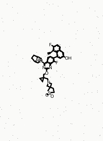 C#Cc1c(F)ccc2cc(O)cc(-c3ccc4c(N5CC6CCC(C5)N6)nc(OCC5(CN6CC7(CCS(=O)(=O)C7)C6)CC5)nc4c3F)c12